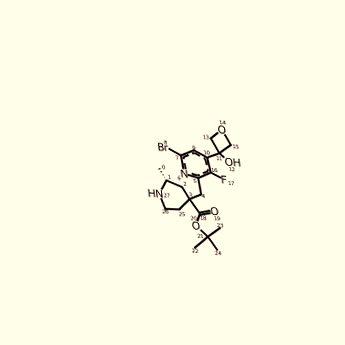 C[C@@H]1CC(Cc2nc(Br)cc(C3(O)COC3)c2F)(C(=O)OC(C)(C)C)CCN1